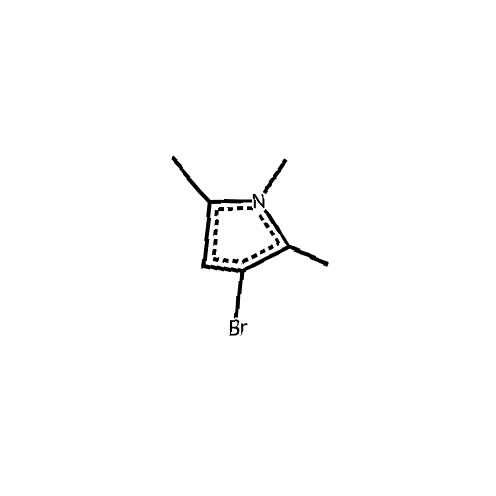 Cc1cc(Br)c(C)n1C